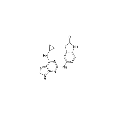 O=C1Cc2cc(Nc3nc(NC4CC4)c4cc[nH]c4n3)ccc2N1